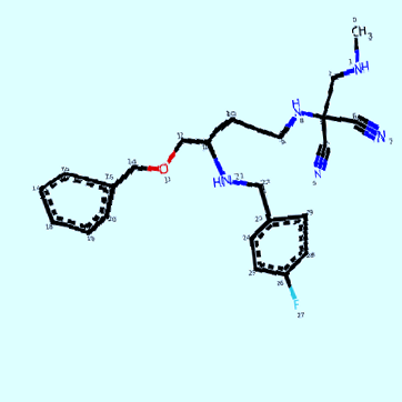 CNCC(C#N)(C#N)NCCC(COCc1ccccc1)NCc1ccc(F)cc1